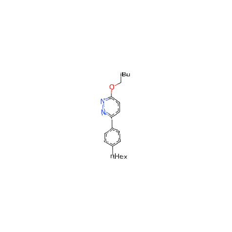 CCCCCCc1ccc(-c2ccc(OCC(C)CC)nn2)cc1